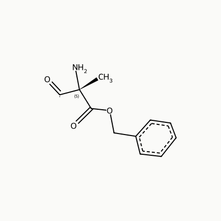 C[C@](N)([C]=O)C(=O)OCc1ccccc1